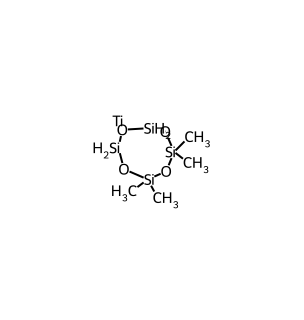 C[Si]1(C)O[SiH2]O[SiH2]O[Si](C)(C)O1.[Ti]